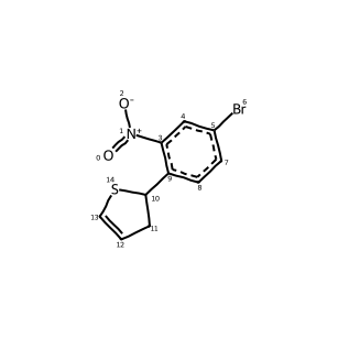 O=[N+]([O-])c1cc(Br)ccc1C1CC=CS1